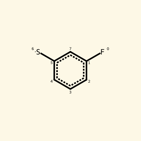 Fc1cccc([S])c1